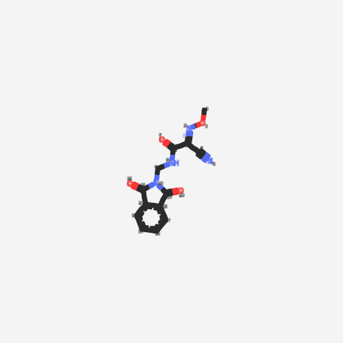 CO/N=C(\C#N)C(=O)NCN1C(=O)c2ccccc2C1=O